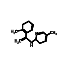 C=C(NC1CC=C(C)C=N1)C1=C(C)CCC=C1